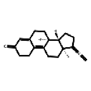 C=C=C1CC[C@H]2[C@@H]3CCC4=CC(=O)CCC4=C3CC[C@]12C